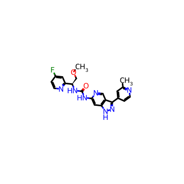 COC[C@@H](NC(=O)Nc1cc2[nH]nc(-c3ccnc(C)c3)c2cn1)c1cc(F)ccn1